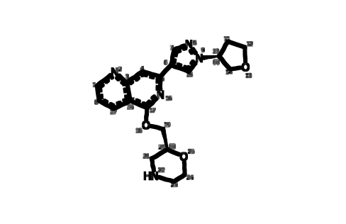 c1cnc2cc(-c3cnn([C@H]4CCOC4)c3)nc(OC[C@@H]3CNCCO3)c2c1